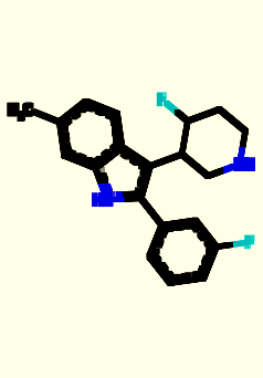 Cc1ccc2c(C3CNCCC3F)c(-c3cccc(F)c3)[nH]c2c1